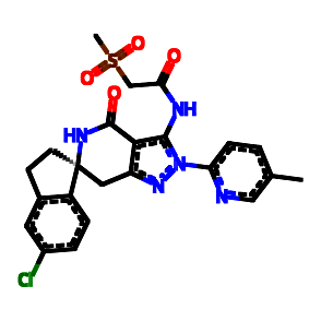 Cc1ccc(-n2nc3c(c2NC(=O)CS(C)(=O)=O)C(=O)N[C@@]2(CCc4cc(Cl)ccc42)C3)nc1